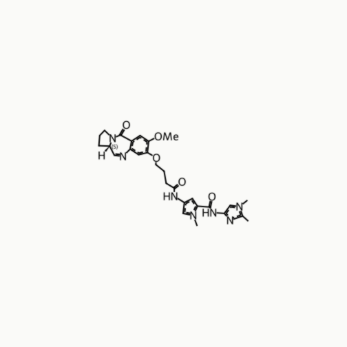 COc1cc2c(cc1OCCCC(=O)Nc1cc(C(=O)Nc3cn(C)c(C)n3)n(C)c1)N=C[C@@H]1CCCN1C2=O